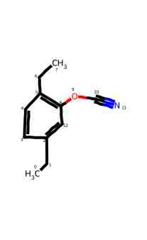 CCc1ccc(CC)c(OC#N)c1